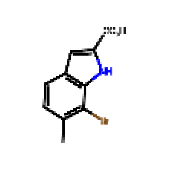 Cc1ccc2cc(C(=O)O)[nH]c2c1Br